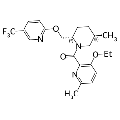 CCOc1ccc(C)nc1C(=O)N1C[C@H](C)CC[C@H]1COc1ccc(C(F)(F)F)cn1